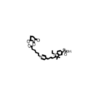 CC[N+]1=C(/C=C/C=C2C=CN(CCCCCC(=O)ON3C(=O)CCC3=O)C=C2)C(C)(C)c2cc(S(=O)(=O)O)ccc21